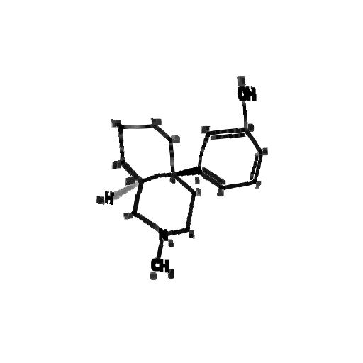 CN1CC[C@@]2(c3cccc(O)c3)CCCC[C@@H]2C1